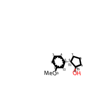 COc1cccc([C@@H]2CCC[C@H]2O)c1